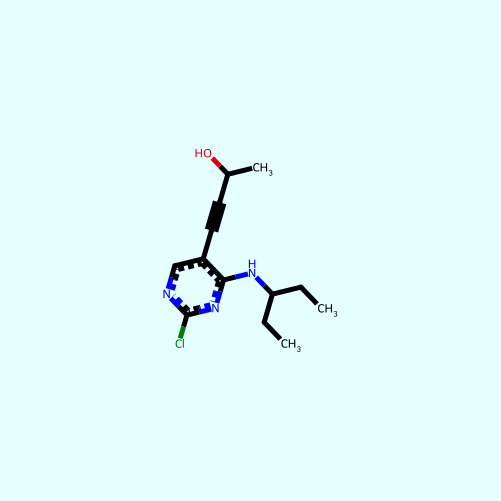 CCC(CC)Nc1nc(Cl)ncc1C#CC(C)O